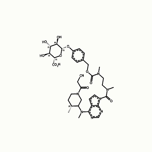 C[C@@H]1CCN(C(=O)CC#N)CC1N(C)c1ncnc2c1ccn2C(=O)N(C)CCN(C)C(=O)OCc1ccc(O[C@@H]2O[C@H](C(=O)O)[C@@H](O)[C@H](O)[C@H]2O)cc1